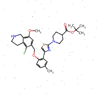 COc1cc(COc2ccc(C)cc2-c2csc(N3CCC(C(=O)OC(C)(C)C)CC3)n2)c(F)c2c1CNCC2